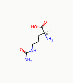 C[C@](N)(CCCNC(N)=O)C(=O)O